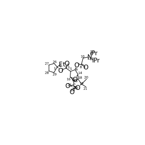 CCC1(OC(=O)C2C(OC(=O)CN(C(C)C)C(C)C)C3OC2C2C3C(C)(C)OS2(=O)=O)CCCC1